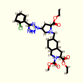 CCOC(=O)C1CC(n2nnc(-c3ccccc3Cl)n2)CN1CC1CCC2CN(C(=O)OC)C(C(=O)OCC)CC2C1